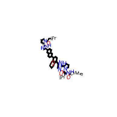 COC(=O)N[C@H](C(=O)N1CCCC1c1ncc(-c2ccc(-c3ccc4cc(-c5cnc([C@@H]6CCCN6C(=O)CC(C)C)[nH]5)ccc4c3)c3c2C2CCC3O2)[nH]1)C(C)C